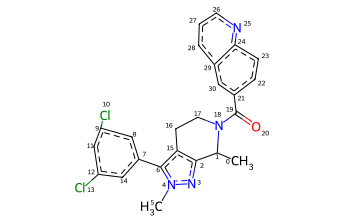 CC1c2nn(C)c(-c3cc(Cl)cc(Cl)c3)c2CCN1C(=O)c1ccc2ncccc2c1